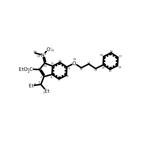 CCOC(=O)C1=C(C(CC)CC)c2ccc(OCCCc3ccccc3)cc2/C1=[N+](/C)[O-]